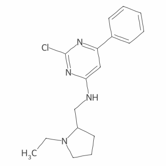 CCN1CCCC1CNc1cc(-c2ccccc2)nc(Cl)n1